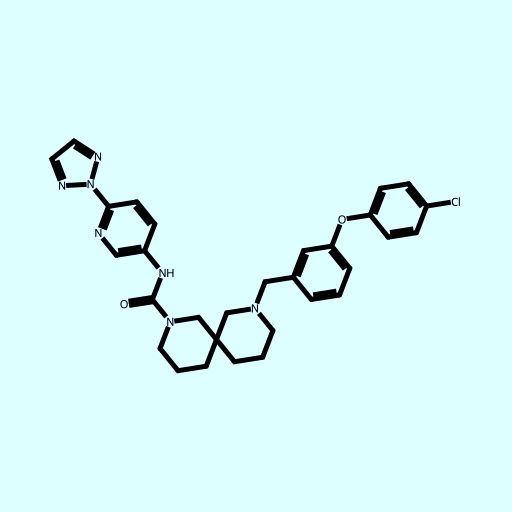 O=C(Nc1ccc(-n2nccn2)nc1)N1CCCC2(CCCN(Cc3cccc(Oc4ccc(Cl)cc4)c3)C2)C1